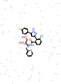 O=C(N[C@H](Cc1ccccn1)[C@H](O)CO)c1cccc(Cl)c1-c1cc(-c2ccc(F)cc2)[nH]n1